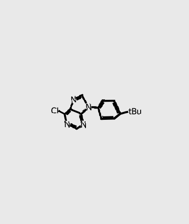 CC(C)(C)c1ccc(-n2cnc3c(Cl)ncnc32)cc1